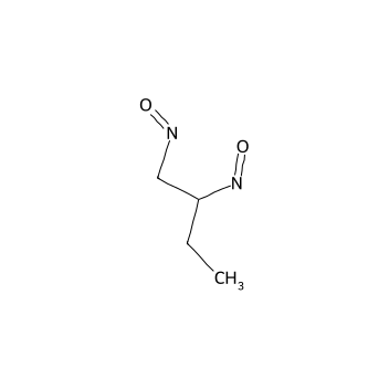 CCC(CN=O)N=O